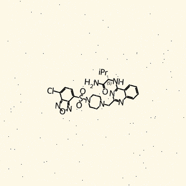 CC(C)[C@H](Nc1nc(CN2CCN(S(=O)(=O)c3ccc(Cl)c4nonc34)CC2)nc2ccccc12)C(N)=O